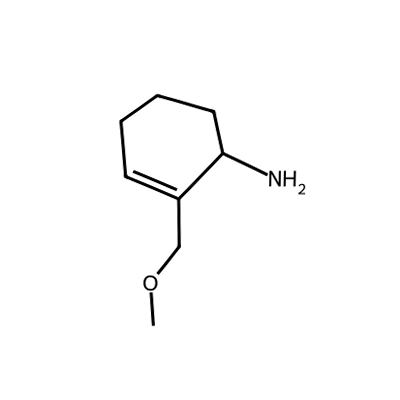 COCC1=CCCCC1N